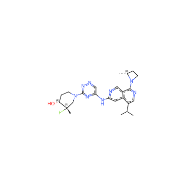 CC(C)c1cnc(N2CC[C@H]2C)c2cnc(Nc3cnnc(N4CC[C@@H](O)[C@@](C)(F)C4)n3)cc12